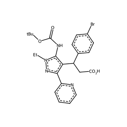 CCn1nc(-c2ccccn2)c(C(CC(=O)O)c2ccc(Br)cc2)c1NC(=O)OC(C)(C)C